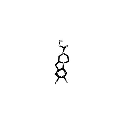 CC(C)(C)OC(=O)N1CCN2c3cc(Cl)c(F)cc3CC2C1